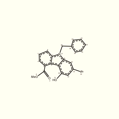 COC(=O)c1cccc2c1c1c(O)cc(C(C)C)cc1n2Cc1ccccc1